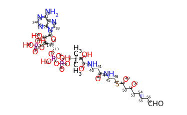 CC(C)(COP(=O)(O)OP(=O)(O)OC[C@H]1O[C@@H](n2cnc3c(N)ncnc32)[C@H](O)[C@@H]1OP(=O)(O)O)[C@@H](O)C(=O)NCCC(=O)NCCSC(=O)CC(=O)C/C=C/CC=O